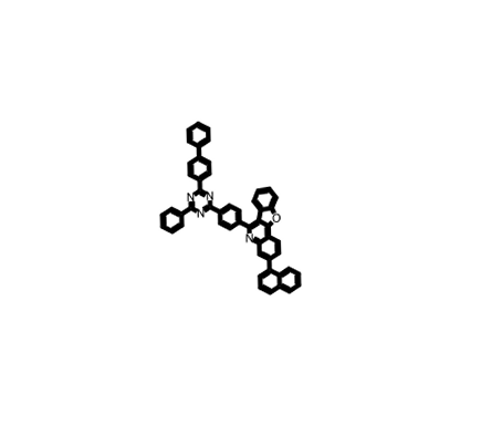 c1ccc(-c2ccc(-c3nc(-c4ccccc4)nc(-c4ccc(-c5nc6cc(-c7cccc8ccccc78)ccc6c6oc7ccccc7c56)cc4)n3)cc2)cc1